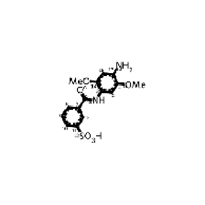 COc1cc(NC(=O)c2cccc(S(=O)(=O)O)c2)c(OC)cc1N